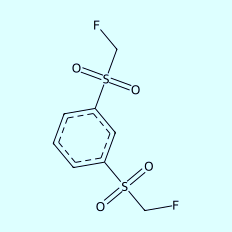 O=S(=O)(CF)c1cccc(S(=O)(=O)CF)c1